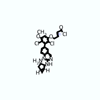 COc1cc(OC/C=C/C(=O)Cl)c(Cl)c(-c2ccc3nc(N[C@@H]4[C@H]5C[C@H]5C[C@@H]4N)ncc3c2)c1Cl